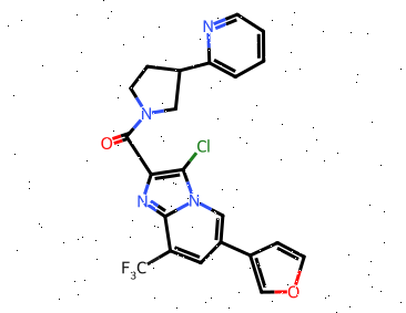 O=C(c1nc2c(C(F)(F)F)cc(-c3ccoc3)cn2c1Cl)N1CCC(c2ccccn2)C1